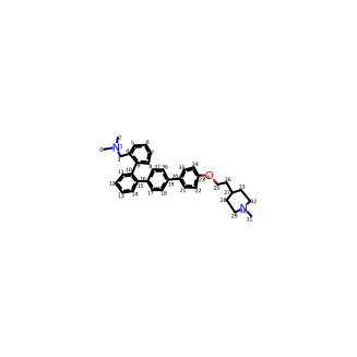 CN(C)Cc1ccccc1-c1cc[c]cc1-c1ccc(-c2ccc(OCCC3CCN(C)CC3)cc2)cc1